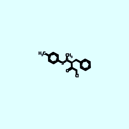 Cc1ccc(SN(C)[C@@H](Cc2ccccc2)C(=O)CCl)cc1